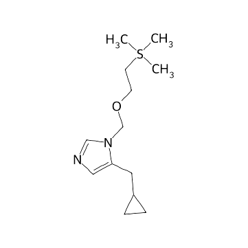 CS(C)(C)CCOCn1cncc1CC1CC1